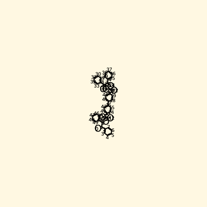 O=C(c1ccccc1)C(OS(=O)(=O)c1ccc(-c2ccc(S(=O)(=O)OC(C(=O)c3ccccc3)c3ccccc3)cc2)cc1)c1ccccc1